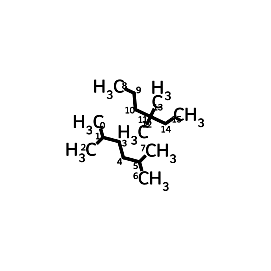 CC(C)CCC(C)C.CCCC(C)(C)CC